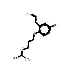 C=CCc1cc(N)ccc1OCCCNC(C)C